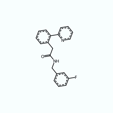 O=C(Cc1ccccc1-c1ccccn1)NCc1cccc(F)c1